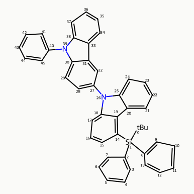 CC(C)(C)[Si](c1ccccc1)(c1ccccc1)c1cccc2c1c1ccccc1n2-c1ccc2c(c1)c1ccccc1n2-c1ccccc1